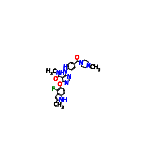 CNC(=O)c1c(Nc2ccc(C(=O)N3CCN(C)CC3)cc2)ncnc1Oc1ccc2[nH]c(C)cc2c1F